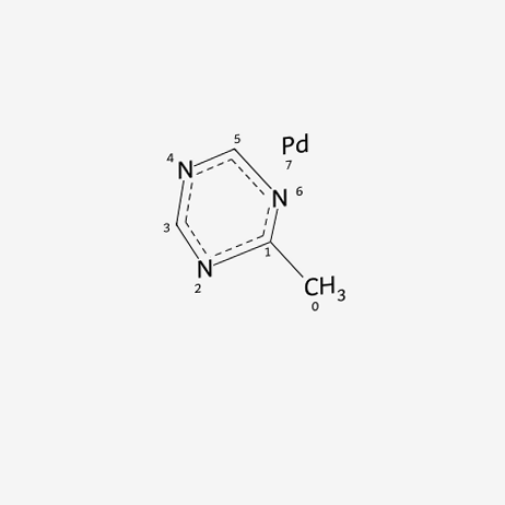 Cc1ncncn1.[Pd]